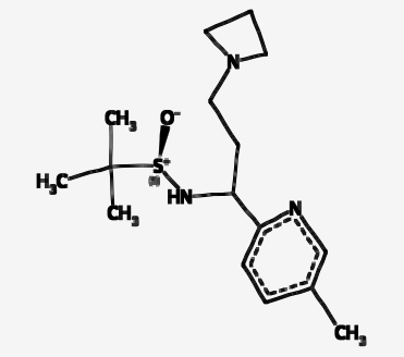 Cc1ccc(C(CCN2CCC2)N[S@+]([O-])C(C)(C)C)nc1